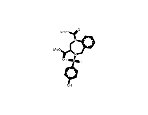 CCCCCC(=O)N1CC(C(=O)OC)N(S(=O)(=O)c2ccc(O)cc2)Cc2ccccc21